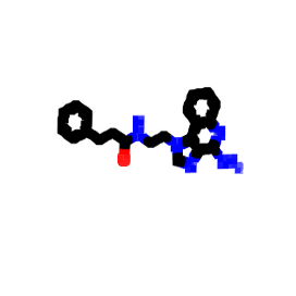 Nc1nc2ccccc2c2c1ncn2CCNC(=O)CCc1ccccc1